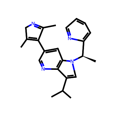 CC1=NCC(C)=C1c1cnc2c(C(C)C)cn([C@H](C)c3ccccn3)c2c1